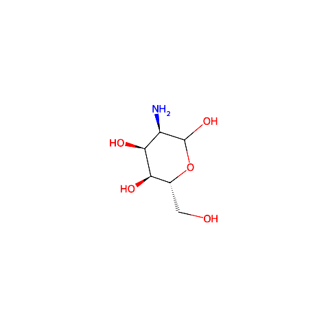 N[C@H]1C(O)O[C@H](CO)[C@@H](O)[C@H]1O